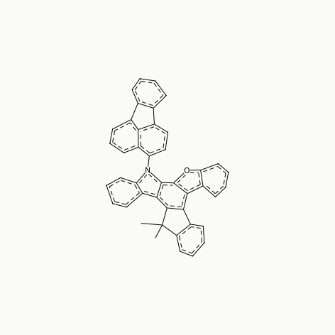 CC1(C)c2ccccc2-c2c1c1c3ccccc3n(-c3ccc4c5c(cccc35)-c3ccccc3-4)c1c1oc3ccccc3c21